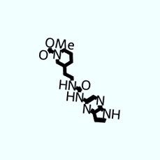 COC(=O)N1CCCC(CCNC(=O)Nc2cnc3[nH]ccc3n2)C1